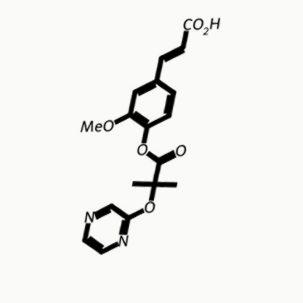 COc1cc(/C=C/C(=O)O)ccc1OC(=O)C(C)(C)Oc1cnccn1